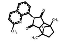 Cc1ccc2cccc(N3C(=O)C4C(C3=O)C3(C)CCC4(C)O3)c2n1